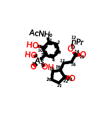 CC(=O)Nc1cccc([As](=O)(O)O)c1O.CCCOC(=O)CCC1CCCC1=O